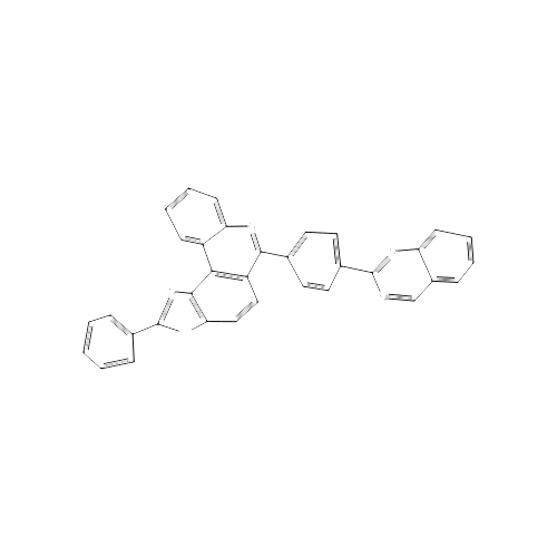 c1ccc(-c2nc3c(ccc4c(-c5ccc(-c6ncc7ccccc7n6)cc5)nc5ccccc5c43)o2)cc1